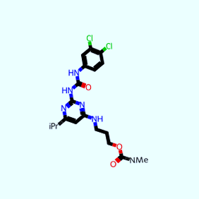 CNC(=O)OCCCNc1cc(C(C)C)nc(NC(=O)Nc2ccc(Cl)c(Cl)c2)n1